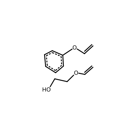 C=COCCO.C=COc1ccccc1